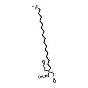 CCCCCCCCCCCCCCCCCC[Si](N=C=O)(N=C=O)N=C=O